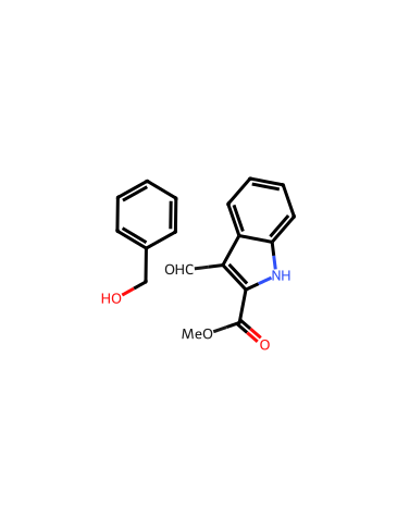 COC(=O)c1[nH]c2ccccc2c1C=O.OCc1ccccc1